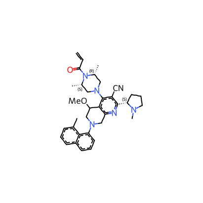 C=CC(=O)N1[C@H](C)CN(c2c(C#N)c([C@@H]3CCCN3C)nc3c2C(OC)CN(c2cccc4cccc(C)c24)C3)C[C@@H]1C